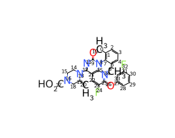 Cc1cccc(C)c1-n1c(=O)nc(N2CCN(C(=O)O)CC2C)c2cc(F)c(Oc3cccc(F)c3)nc21